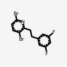 Fc1cc(F)cc(CCc2nc(Br)ccc2Br)c1